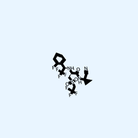 N#CC1(NC(=O)[C@H](CS(=O)(=O)CC(F)(F)F)N[C@@H](c2ccccc2F)C(F)(F)F)CC1